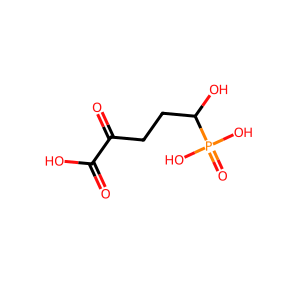 O=C(O)C(=O)CCC(O)P(=O)(O)O